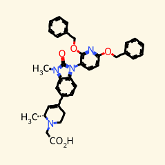 C[C@@H]1C=C(c2ccc3c(c2)n(C)c(=O)n3-c2ccc(OCc3ccccc3)nc2OCc2ccccc2)CCN1CC(=O)O